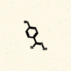 CCC(=NO)c1ccc(C(C)(C)C)cc1